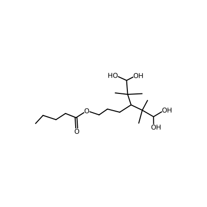 CCCCC(=O)OCCCC(C(C)(C)C(O)O)C(C)(C)C(O)O